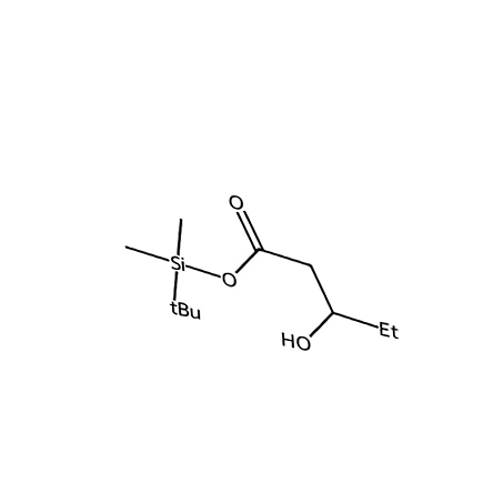 CCC(O)CC(=O)O[Si](C)(C)C(C)(C)C